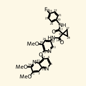 COc1cc2nccc(Oc3ncc(NC(=O)C4(C(=O)Nc5ccc(F)cc5)CC4)cc3OC)c2nc1OC